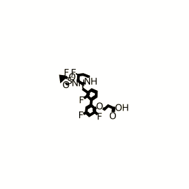 O=C(O)CCOc1c(F)cc(F)cc1-c1cccc(C[C@@H]2NCC[C@H](F)[C@@H]2NS(=O)(=O)C2(F)CC2)c1F